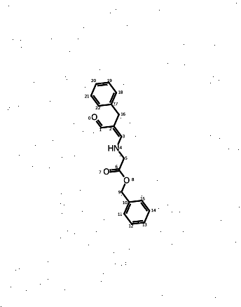 O=CC(=CNCC(=O)OCc1ccccc1)Cc1ccccc1